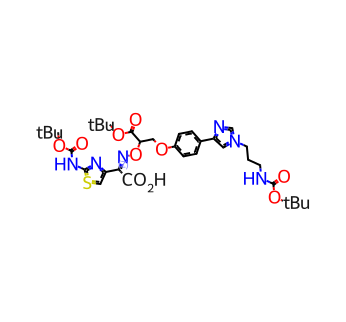 CC(C)(C)OC(=O)NCCCn1cnc(-c2ccc(OCC(O/N=C(\C(=O)O)c3csc(NC(=O)OC(C)(C)C)n3)C(=O)OC(C)(C)C)cc2)c1